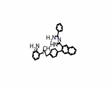 CN(CC1=CC=C(c2cc3ccccc3cc2C(=N)/N=C(\N)c2ccccc2)CC1)c1ccccc1N